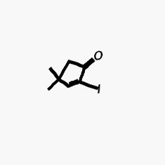 CC1(C)C=C(I)C(=O)C1